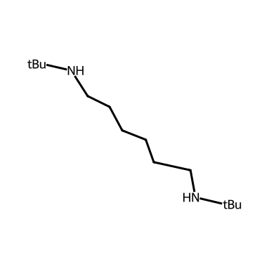 CC(C)(C)NCCCCCCNC(C)(C)C